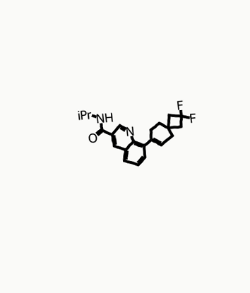 CC(C)NC(=O)c1cnc2c(C3=CCC4(CC3)CC(F)(F)C4)cccc2c1